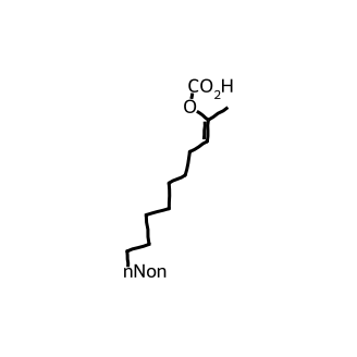 CCCCCCCCCCCCCCCCC=C(C)OC(=O)O